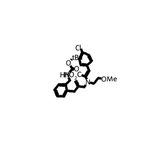 C=C(Cc1ccccc1CNC(=O)OC(C)(C)C)CN(CCOC)/C(=C/c1ccc(Cl)cc1)C(=O)O